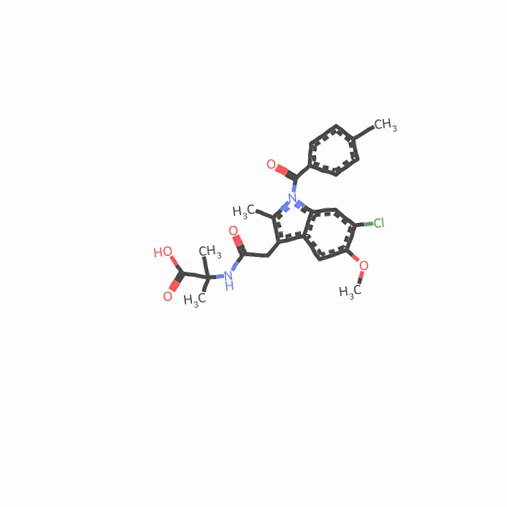 COc1cc2c(CC(=O)NC(C)(C)C(=O)O)c(C)n(C(=O)c3ccc(C)cc3)c2cc1Cl